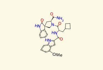 COc1cccc2[nH]c(C(=O)NC(CC3CCC3)C(=O)N3C[C@]4(C[C@H]3C(N)=O)C(=O)Nc3ccccc34)cc12